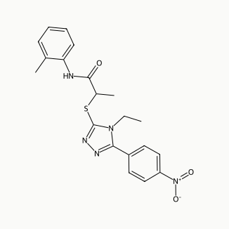 CCn1c(SC(C)C(=O)Nc2ccccc2C)nnc1-c1ccc([N+](=O)[O-])cc1